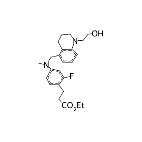 CCOC(=O)CCc1ccc(N(C)Cc2cccc3c2CCCN3CCO)cc1F